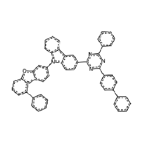 c1ccc(-c2ccc(-c3nc(-c4ccccc4)nc(-c4ccc5c(c4)c4ccccc4n5-c4ccc5c(c4)oc4cccc(-c6ccccc6)c45)n3)cc2)cc1